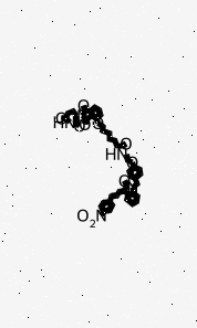 O=C(CCCCCCOc1cccc2c1C(=O)N(C1CCC(=O)NC1=O)C2=O)NCCOc1ccc(CN2C(=O)/C(=C/C=C/c3ccc([N+](=O)[O-])cc3)c3ccccc32)cc1